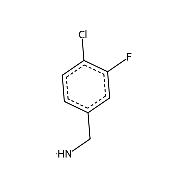 [NH]Cc1ccc(Cl)c(F)c1